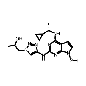 CC(O)Cn1cc(Nc2nc(N[C@@H](C)C3CC3)c3ccn(SI)c3n2)nn1